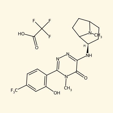 CN1C2CCC1[C@H](Nc1nnc(-c3ccc(C(F)(F)F)cc3O)n(C)c1=O)CC2.O=C(O)C(F)(F)F